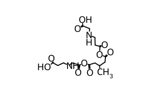 CC(CC(=O)OC(=O)CCNCC(=O)O)CC(=O)OC(=O)CNCCC(=O)O